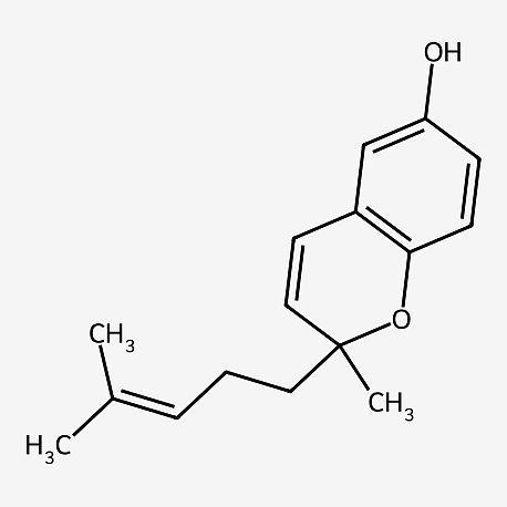 CC(C)=CCCC1(C)C=Cc2cc(O)ccc2O1